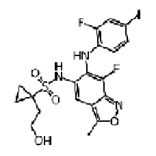 Cc1onc2c(F)c(Nc3ccc(I)cc3F)c(NS(=O)(=O)C3(CCO)CC3)cc12